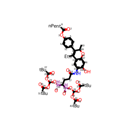 CCCCCC(=O)Oc1ccc(C2=C(CC)c3cc(NC(=O)CCC([PH](=O)OC(OC(=O)C(C)(C)C)OC(=O)C(C)(C)C)[PH](=O)OC(OC(=O)C(C)(C)C)OC(=O)C(C)(C)C)c(O)cc3OC2C)cc1